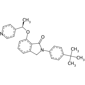 C[C@@H](Oc1cccc2c1C(=O)N(c1ccc(C(C)(C)C)cc1)C2)c1ccncc1